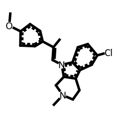 COc1ccc(C(C)=Cn2c3c(c4cc(Cl)ccc42)CCN(C)C3)cc1